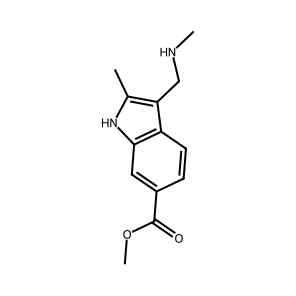 CNCc1c(C)[nH]c2cc(C(=O)OC)ccc12